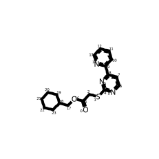 O=C(CSc1nccc(-c2ccccn2)n1)OCC1CCCCC1